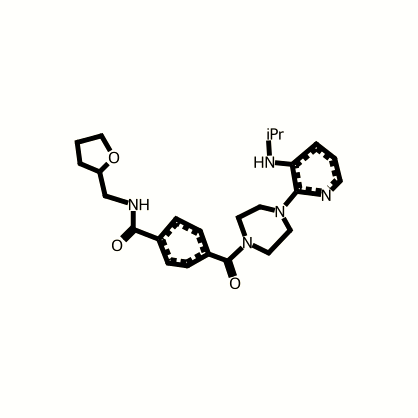 CC(C)Nc1cccnc1N1CCN(C(=O)c2ccc(C(=O)NCC3CCCO3)cc2)CC1